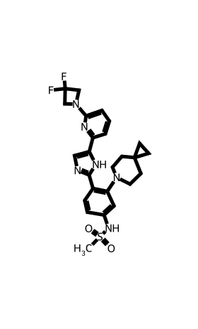 CS(=O)(=O)Nc1ccc(-c2ncc(-c3cccc(N4CC(F)(F)C4)n3)[nH]2)c(N2CCC3(CC2)CC3)c1